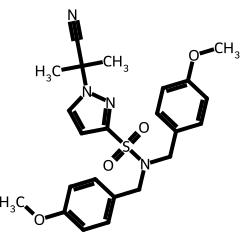 COc1ccc(CN(Cc2ccc(OC)cc2)S(=O)(=O)c2ccn(C(C)(C)C#N)n2)cc1